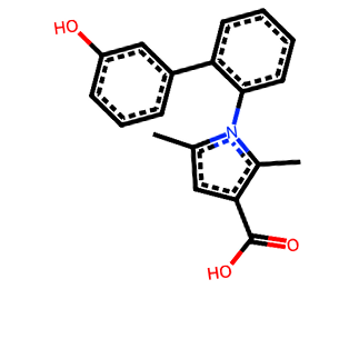 Cc1cc(C(=O)O)c(C)n1-c1ccccc1-c1cccc(O)c1